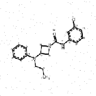 CCCN(c1ccccc1)C1CN(C(=O)Nc2cccc(Cl)c2)C1